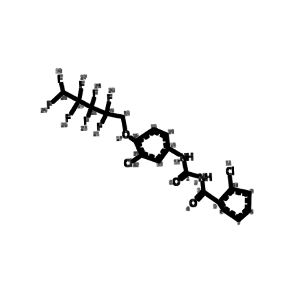 O=C(NC(=O)c1ccccc1Cl)Nc1ccc(OCC(F)(F)C(F)(F)C(F)(F)C(F)F)c(Cl)c1